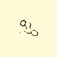 CCCN1CCCCC1CN(C)Cc1ccccc1